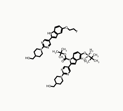 CC(C)(C)OC(=O)n1c(-c2cnc(N3CCC(CO)CC3)nc2)cc2cc(O[Si](C)(C)C(C)(C)C)ccc21.OCC1CCN(c2ncc(-c3cc4cc(OCCF)ccc4[nH]3)cn2)CC1